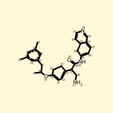 Cc1cc(C)cc(CC(C)OC2=CC=C(C(CN)C(=O)NC3=CC=C4C=NC=CC4C3)CC2)c1